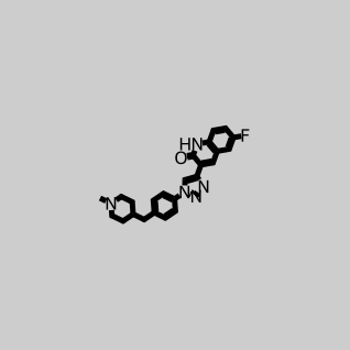 CN1CCC(Cc2ccc(-n3cc(-c4cc5cc(F)ccc5[nH]c4=O)nn3)cc2)CC1